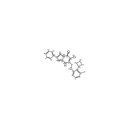 Cc1cccc(OCc2[nH]c3nc(-c4ccccc4)nn3c(=O)c2Cl)c1C1CCC1